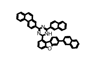 c1ccc2cc(C3=NC(c4ccc5c(ccc6ccccc65)c4)=NC(c4cccc5oc6cc(-c7ccc8ccccc8c7)ccc6c45)N3)ccc2c1